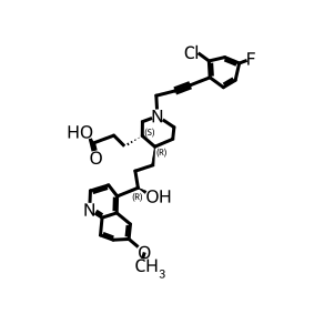 COc1ccc2nccc([C@H](O)CC[C@@H]3CCN(CC#Cc4ccc(F)cc4Cl)C[C@H]3CCC(=O)O)c2c1